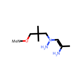 CNOCC(C)(C)CN(N)/C=C(/C)N